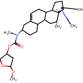 COC1CC(OC(=O)N(C)C2CCC3C(=CCC4C3CCC35C4CCC3C(C)N(C)[C@H]5C)C2)CO1